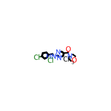 O=C(c1cnc(NCc2ccc(Cl)cc2Cl)nc1C(F)(F)F)N1CCOCC1